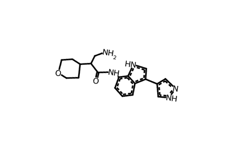 NCC(C(=O)Nc1cccc2c(-c3cn[nH]c3)c[nH]c12)C1CCOCC1